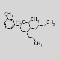 CCCCC([C](C)C)C(CCC)CCc1cccc(C)c1